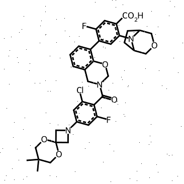 CC1(C)COC2(CN(c3cc(F)c(C(=O)N4COc5c(cccc5-c5cc(N6C7CCC6COC7)c(C(=O)O)cc5F)C4)c(Cl)c3)C2)OC1